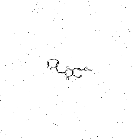 COc1ccc2nc(Cc3ccccn3)sc2c1